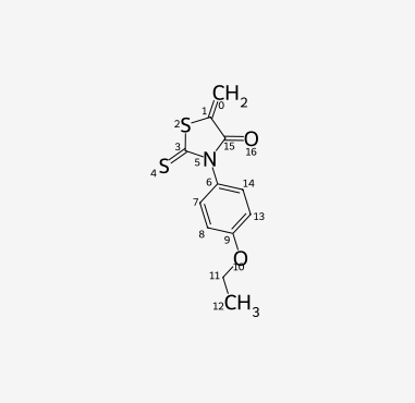 C=C1SC(=S)N(c2ccc(OCC)cc2)C1=O